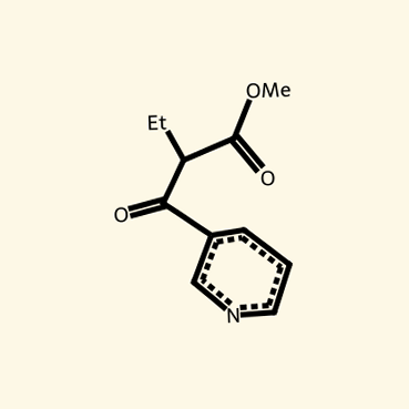 CCC(C(=O)OC)C(=O)c1cccnc1